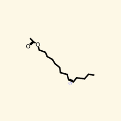 CCCC/C=C\CCCCCCCCOC(C)=O